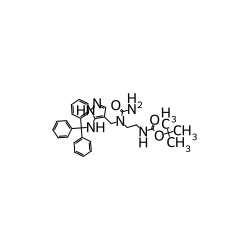 CC(C)(C)OC(=O)NCCN(Cc1cn[nH]c1NC(c1ccccc1)(c1ccccc1)c1ccccc1)C(N)=O